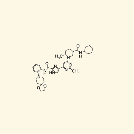 Cc1nc(-c2c[nH]c(C(=O)Nc3ccccc3N3CCC4(CC3)OCCO4)n2)cc(N2CC(C(=O)NC3CCCCC3)CCC2C)n1